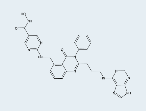 O=C(NO)c1cnc(NCc2cccc3nc(CCCNc4ncnc5[nH]cnc45)n(-c4ccccc4)c(=O)c23)nc1